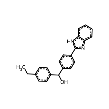 CCc1ccc(C(O)c2ccc(-c3nc4ccccc4[nH]3)cc2)cc1